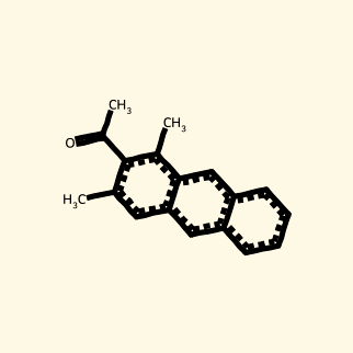 CC(=O)c1c(C)cc2cc3ccccc3cc2c1C